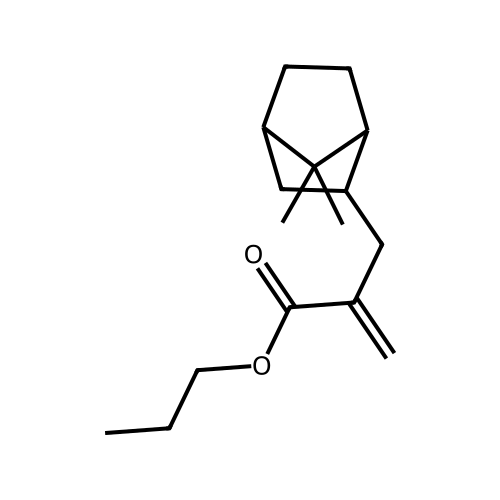 C=C(CC1CC2CCC1C2(C)C)C(=O)OCCC